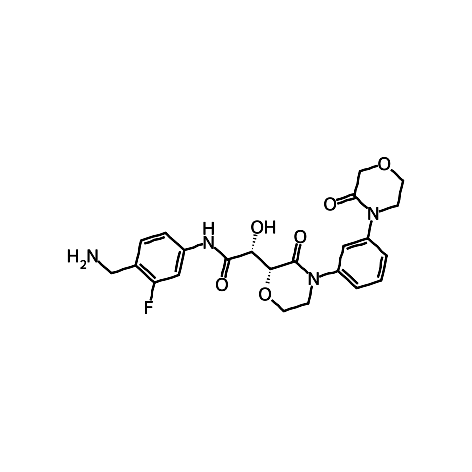 NCc1ccc(NC(=O)[C@H](O)[C@H]2OCCN(c3cccc(N4CCOCC4=O)c3)C2=O)cc1F